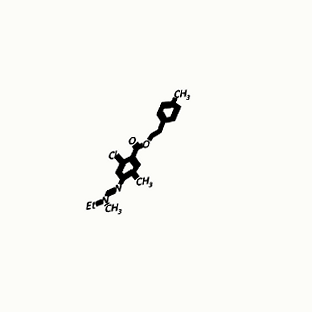 CCN(C)/C=N/c1cc(Cl)c(C(=O)OCCc2ccc(C)cc2)cc1C